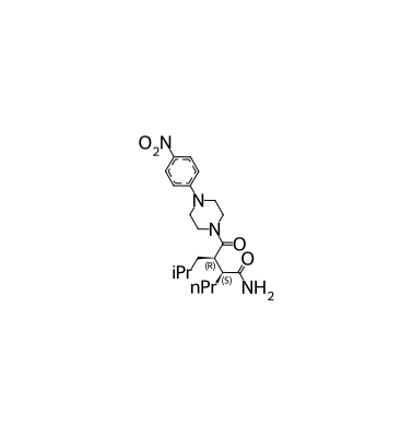 CCC[C@H](C(N)=O)[C@@H](CC(C)C)C(=O)N1CCN(c2ccc([N+](=O)[O-])cc2)CC1